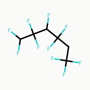 FC(F)C(F)(F)C(F)C(F)(F)CC(F)(F)F